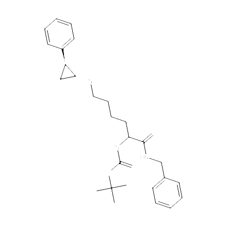 CC(C)(C)OC(=O)NC(CCCCN[C@@H]1C[C@H]1c1ccccc1)C(=O)NCc1ccccc1